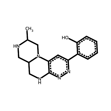 CC1CN2c3cc(-c4ccccc4O)nnc3NCC2CN1